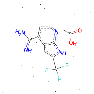 CC(=O)O.N=C(N)c1ccnc2[nH]c(C(F)(F)F)cc12